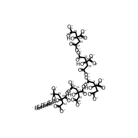 O=C([O-])CC(O)(CC(=O)[O-])C(=O)[O-].O=C([O-])CC(O)(CC(=O)[O-])C(=O)[O-].O=C([O-])CC(O)(CC(=O)[O-])C(=O)[O-].O=C([O-])CC(O)(CC(=O)[O-])C(=O)[O-].O=C([O-])CC(O)(CC(=O)[O-])C(=O)[O-].[Fe+2].[Fe+2].[Fe+2].[Fe+3].[Fe+3].[Fe+3]